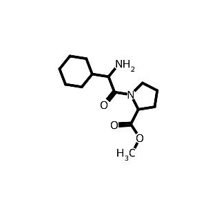 COC(=O)C1CCCN1C(=O)C(N)C1CCCCC1